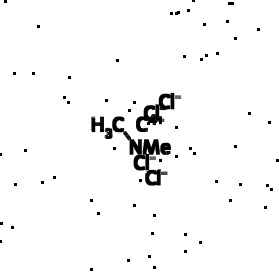 CNC.[C+4].[Cl-].[Cl-].[Cl-].[Cl-]